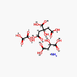 N.O=C(O)C(=O)O.O=C(O)CC(O)(CC(=O)O)C(=O)O.O=C(O)CC(O)C(=O)O